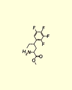 CCC(CC(N)C(=O)OC)c1cc(F)c(F)c(F)c1F